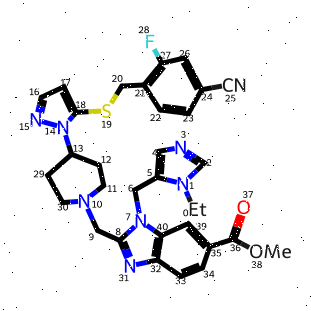 CCn1cncc1Cn1c(CN2CCC(n3nccc3SCc3ccc(C#N)cc3F)CC2)nc2ccc(C(=O)OC)cc21